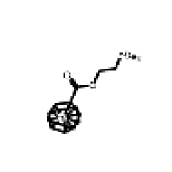 CCCCCCCCCCCCOC(=O)[C]12[CH]3[CH]4[CH]5[CH]1[Fe]45321678[CH]2[CH]1[CH]6[CH]7[CH]28